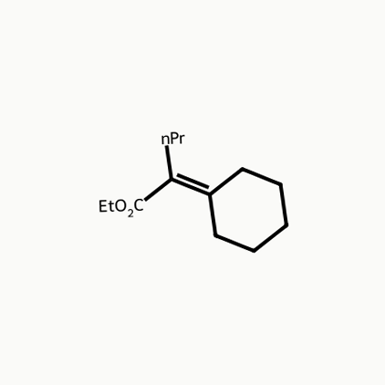 CCCC(C(=O)OCC)=C1CCCCC1